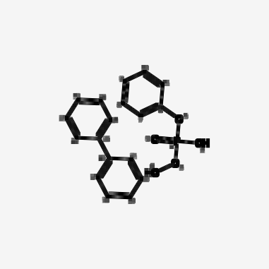 O=P(O)(OO)Oc1ccccc1.c1ccc(-c2ccccc2)cc1